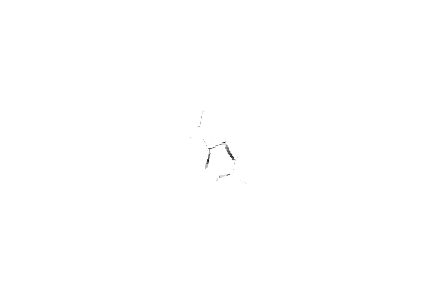 CCOc1ccc([S])cc1